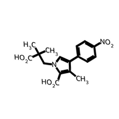 Cc1c(-c2ccc([N+](=O)[O-])cc2)cn(CC(C)(C)C(=O)O)c1C(=O)O